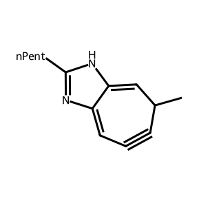 CCCCCc1nc2c([nH]1)=CC(C)C#CC=2